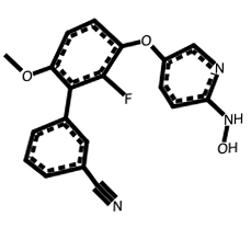 COc1ccc(Oc2ccc(NO)nc2)c(F)c1-c1cccc(C#N)c1